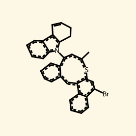 Cc1cc(-n2c3c(c4ccccc42)C=CCC3)c2ccccc2cc2c(cc(Br)c3ccccc32)s1